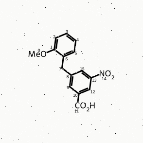 COc1ccccc1Cc1cc(C(=O)O)cc([N+](=O)[O-])c1